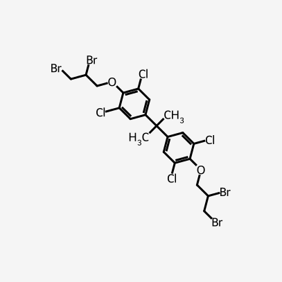 CC(C)(c1cc(Cl)c(OCC(Br)CBr)c(Cl)c1)c1cc(Cl)c(OCC(Br)CBr)c(Cl)c1